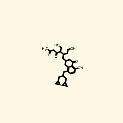 CC(=O)CC(=O)C(CO)C(CCO)CC1CC(=O)c2c(O)ccc(CC(CC3CC3)CC3CC3)c2C1